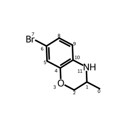 CC1COc2cc(Br)ccc2N1